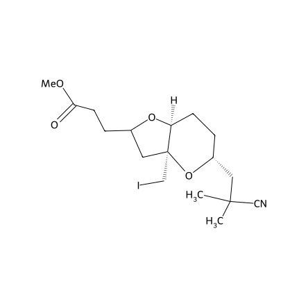 COC(=O)CCC1C[C@]2(CI)O[C@@H](CC(C)(C)C#N)CC[C@@H]2O1